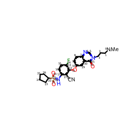 CNCCCn1cnc2ccc(Oc3c(F)ccc(NS(=O)(=O)C4CCCC4)c3C#N)cc2c1=O